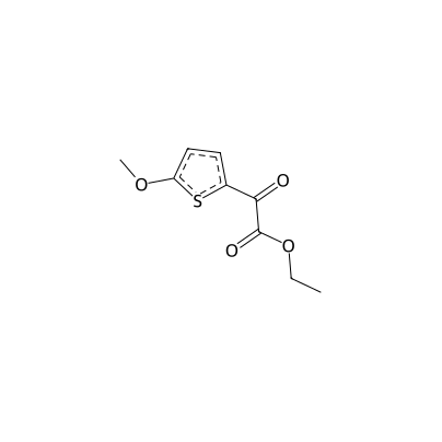 CCOC(=O)C(=O)c1ccc(OC)s1